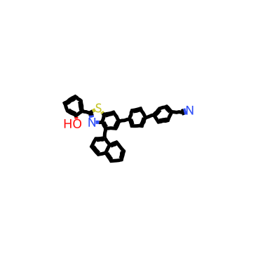 N#Cc1ccc(-c2ccc(-c3cc(-c4cccc5ccccc45)c4nc(-c5ccccc5O)sc4c3)cc2)cc1